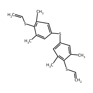 C=CSc1c(C)cc(Sc2cc(C)c(SC=C)c(C)c2)cc1C